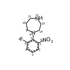 O=[N+]([O-])c1cccc(F)c1N1CCCNCC1